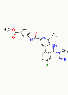 COC(=O)c1ccc2oc(-c3cc(-c4ccc(F)cc4C(=N)N(C)C=N)cc(C4CC4)n3)nc2c1